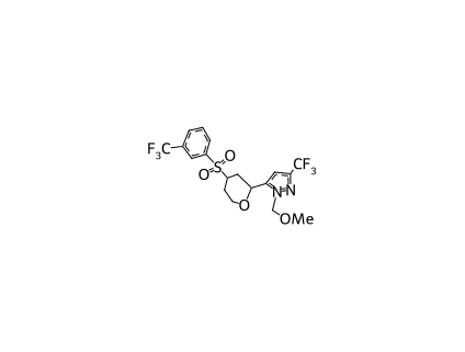 COCn1nc(C(F)(F)F)cc1C1CC(S(=O)(=O)c2cccc(C(F)(F)F)c2)CCO1